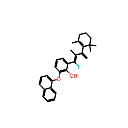 C=C(C1=C(C)CCCC1(C)C)/C(C)=C(\F)c1cccc(Oc2cccc3ccccc23)c1O